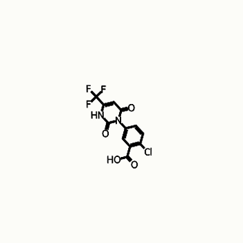 O=C(O)c1cc(-n2c(=O)cc(C(F)(F)F)[nH]c2=O)ccc1Cl